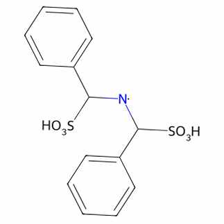 O=S(=O)(O)C([N]C(c1ccccc1)S(=O)(=O)O)c1ccccc1